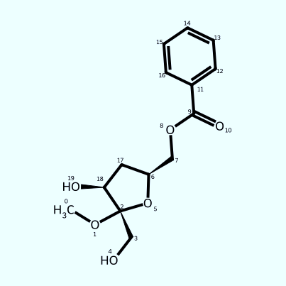 CO[C@@]1(CO)O[C@H](COC(=O)c2ccccc2)C[C@@H]1O